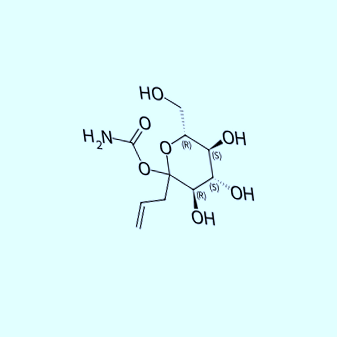 C=CCC1(OC(N)=O)O[C@H](CO)[C@@H](O)[C@H](O)[C@H]1O